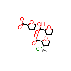 O=C(O)C1CCCO1.O=C([O-])C1CCCO1.O=C([O-])C1CCCO1.[Cl-].[Ti+3]